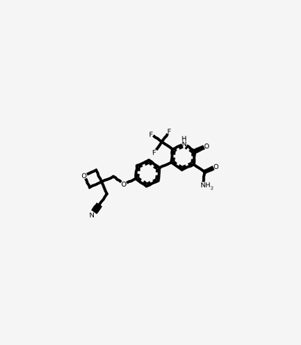 N#CCC1(COc2ccc(-c3cc(C(N)=O)c(=O)[nH]c3C(F)(F)F)cc2)COC1